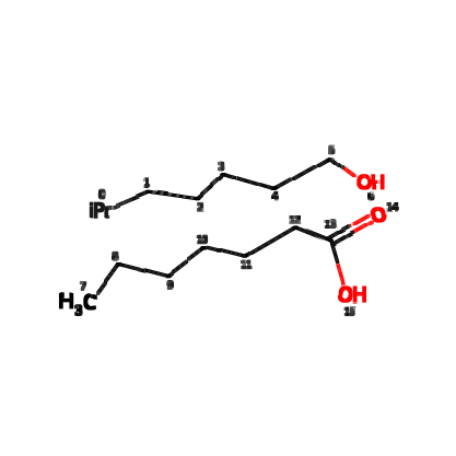 CC(C)CCCCCO.CCCCCCC(=O)O